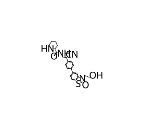 N#C[C@@H](CNC(=O)[C@@H]1CCCCN1)c1ccc(-c2ccc3sc(=O)n(CCO)c3c2)cc1